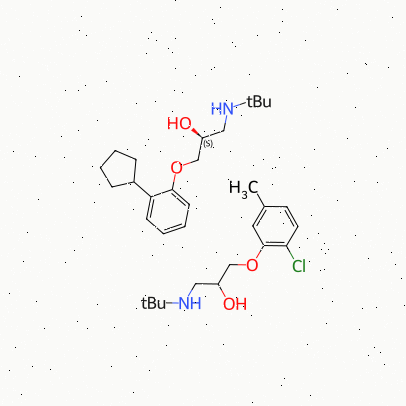 CC(C)(C)NC[C@H](O)COc1ccccc1C1CCCC1.Cc1ccc(Cl)c(OCC(O)CNC(C)(C)C)c1